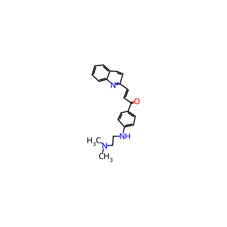 CN(C)CCNc1ccc(C(=O)C=Cc2ccc3ccccc3n2)cc1